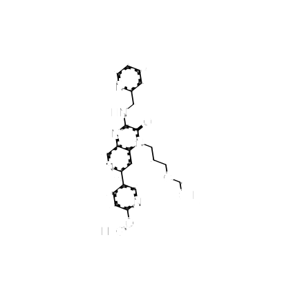 CCOCCCn1c(=O)c(NCc2ccccn2)nc2cnc(-c3ccc(OC)nc3)cc21